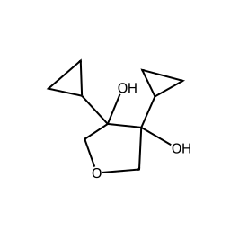 OC1(C2CC2)COCC1(O)C1CC1